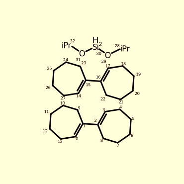 C1=C(C2=CCCCCC2)CCCCC1.C1=C(C2=CCCCCC2)CCCCC1.CC(C)O[SiH2]OC(C)C